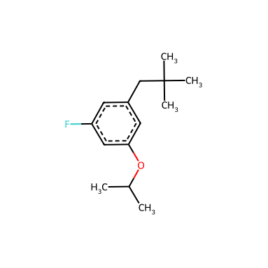 CC(C)Oc1cc(F)cc(CC(C)(C)C)c1